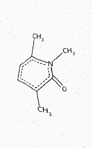 Cc1ccc(C)n(C)c1=O